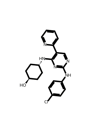 O[C@H]1CC[C@H](Nc2nc(Nc3ccc(Cl)cc3)ncc2-c2ccccn2)CC1